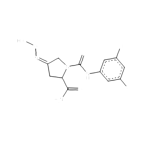 CON=C1CC(C(N)=O)N(C(=O)Nc2cc(Cl)cc(Cl)c2)C1